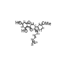 COc1ccc2c(c1)c(C=C1Oc3cc(O)cc(O)c3C1=O)cn2CCCCN(C)C